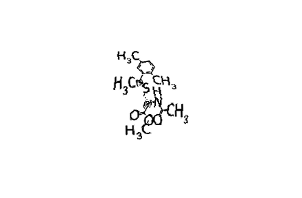 COC(=O)[C@H](CS[C@@H](C)c1cc(C)ccc1C)NC(C)=O